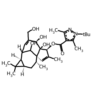 CC1=C[C@]23C(O)[C@@H](C=C(CO)[C@@H](O)[C@]2(O)[C@H]1OC(=O)c1c(C)nn(C(C)(C)C)c1C)[C@H]1[C@@H](C[C@H]3C)C1(C)C